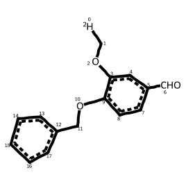 [2H]COc1cc(C=O)ccc1OCc1ccccc1